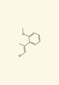 COc1ccccc1C(C)=CCl